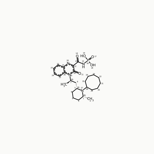 C[C@@H]1CCC[C@H](C[C@@H](C)n2c(=O)c(C(=O)NP(=O)(O)O)nc3ccccc32)N1C1CCCCCCC1